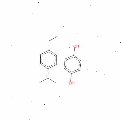 CCc1ccc(C(C)C)cc1.Oc1ccc(O)cc1